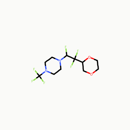 FC(N1CCN(C(F)(F)F)CC1)C(F)(F)C1COCCO1